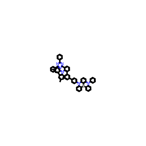 Cc1ccc2c(c1)c1cc(C)ccc1n2-c1c(-c2cccc(-c3ccc(N4c5ccccc5B5c6ccccc6N(c6ccccc6)c6cccc4c65)cc3)c2)cccc1-c1nc(-c2ccccc2)nc(-c2ccccc2)n1